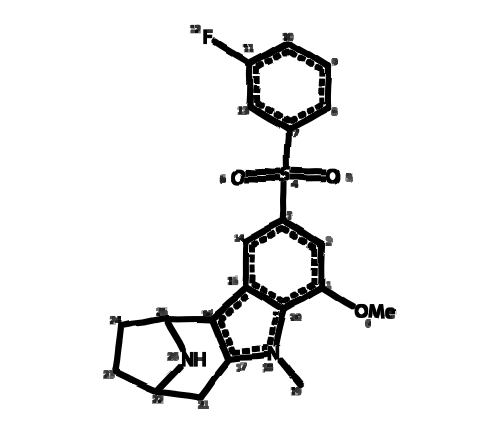 COc1cc(S(=O)(=O)c2cccc(F)c2)cc2c3c(n(C)c12)CC1CCC3N1